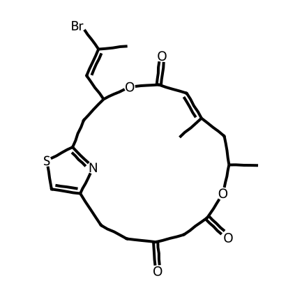 C/C(Br)=C\C1Cc2nc(cs2)CCC(=O)CC(=O)OC(C)C/C(C)=C/C(=O)O1